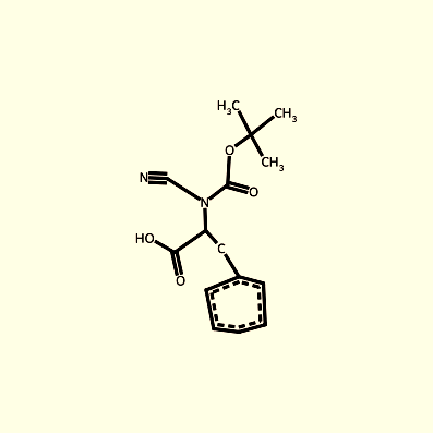 CC(C)(C)OC(=O)N(C#N)C(Cc1ccccc1)C(=O)O